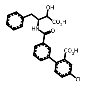 O=C(NC(Cc1ccccc1)C(O)C(=O)O)c1cccc(-c2ccc(Cl)cc2C(=O)O)c1